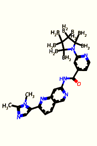 BC1(B)N(c2cc(C(=O)Nc3cc4nc(-c5cnc(C)n5C)ccc4cn3)ccn2)C(B)(B)C(B)(B)C1(B)B